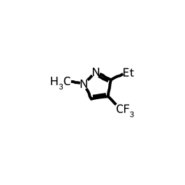 [CH2]Cc1nn(C)cc1C(F)(F)F